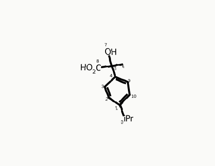 CC(C)c1ccc(C(C)(O)C(=O)O)cc1